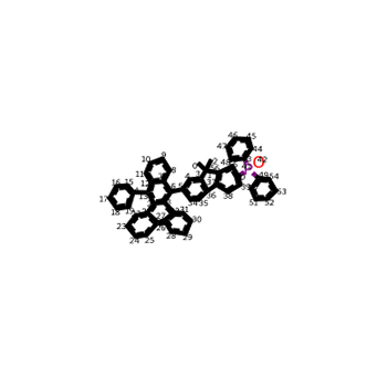 CC1(C)c2cc(-c3c4ccccc4c(-c4ccccc4)c4c5ccccc5c5ccccc5c34)ccc2-c2ccc(P(=O)(c3ccccc3)c3ccccc3)cc21